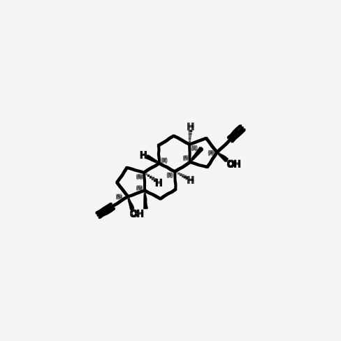 C#C[C@@]1(O)C[C@@H]2CC[C@@H]3[C@H](CC[C@@]4(C)[C@H]3CC[C@@]4(O)C#C)[C@@]2(C)C1